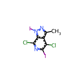 Cc1nn(I)c2c(Cl)nc(I)c(Cl)c12